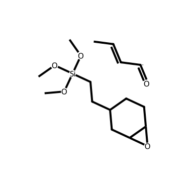 CC=C[C]=O.CO[Si](CCC1CCC2OC2C1)(OC)OC